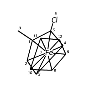 C[C]12[CH]3[CH]4[CH]5[C]1(Cl)[Fe]43521678[CH]2[CH]1[CH]6[CH]7[CH]28